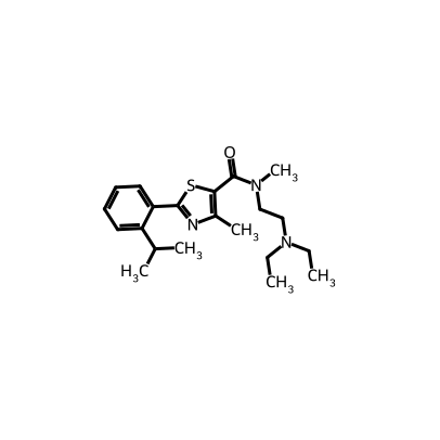 CCN(CC)CCN(C)C(=O)c1sc(-c2ccccc2C(C)C)nc1C